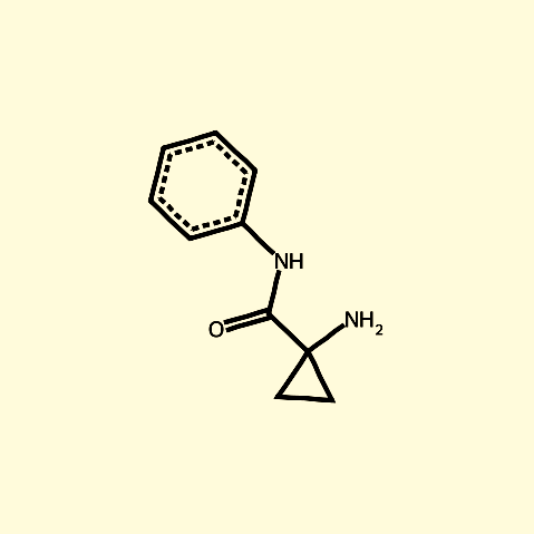 NC1(C(=O)Nc2ccccc2)CC1